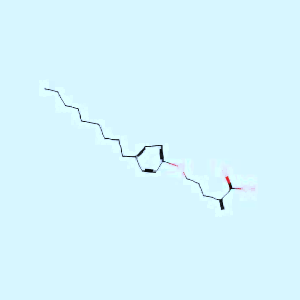 C=C(CCCOc1ccc(CCCCCCCCC)cc1)C(=O)O